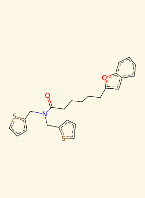 O=C(CCCCCc1cc2ccccc2o1)N(Cc1cccs1)Cc1cccs1